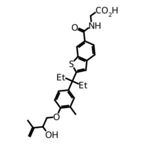 C=C(C)C(O)COc1ccc(C(CC)(CC)c2cc3ccc(C(=O)NCC(=O)O)cc3s2)cc1C